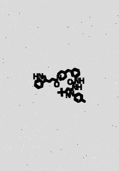 Cc1ccc(-n2nc(C(C)(C)C)cc2NC(=O)Nc2cccc(CC3CCN(C(=O)CCc4c[nH]c5ccccc45)CC3)c2)cc1